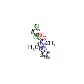 CC1CN(C(=O)COc2cc(Cl)ccc2Cl)C(C)CN1Cc1ccc(F)cc1